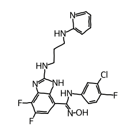 O/N=C(\Nc1ccc(F)c(Cl)c1)c1cc(F)c(F)c2nc(NCCCNc3ccccn3)[nH]c12